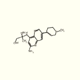 CCCCC(C)(CO)Nc1cc(N)nc2cc(C3=CCN(C)CC3)cnc12